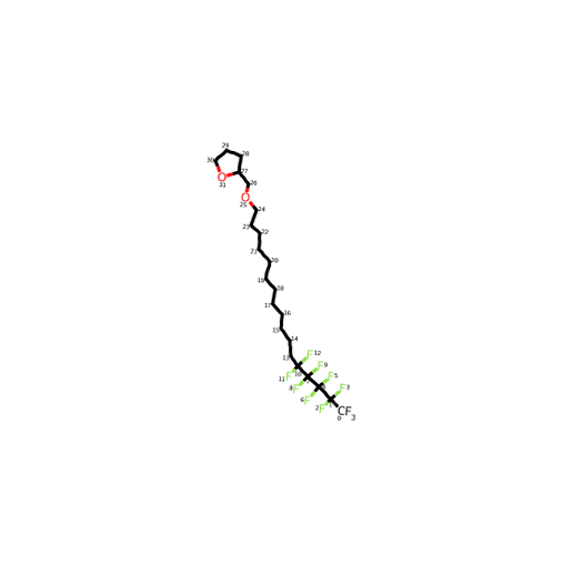 FC(F)(F)C(F)(F)C(F)(F)C(F)(F)C(F)(F)CCCCCCCCCCCCOCC1CCCO1